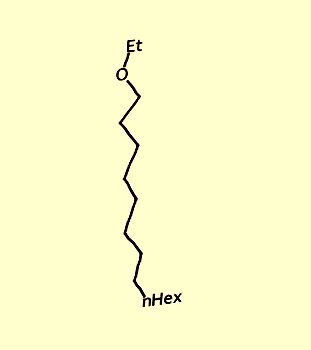 CCCCCCCCCCCCCCOCC